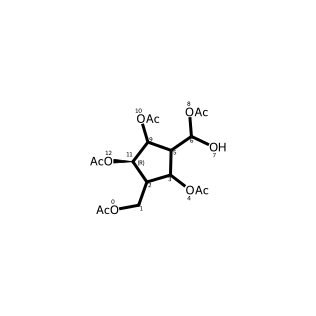 CC(=O)OCC1C(OC(C)=O)C(C(O)OC(C)=O)C(OC(C)=O)[C@@H]1OC(C)=O